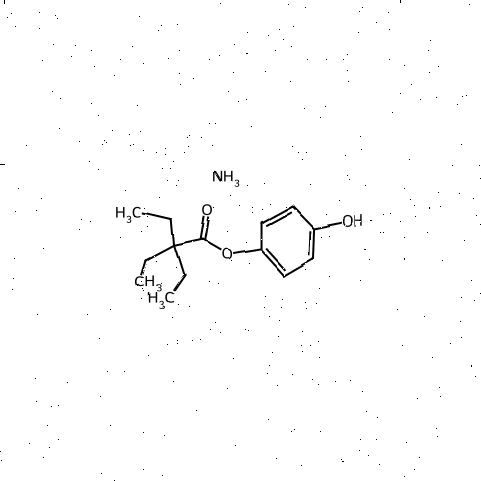 CCC(CC)(CC)C(=O)Oc1ccc(O)cc1.N